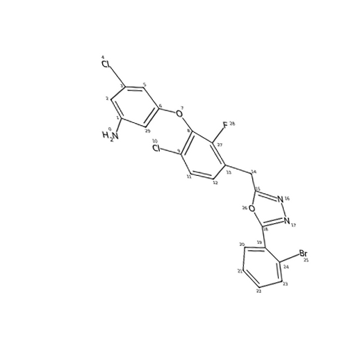 Nc1cc(Cl)cc(Oc2c(Cl)ccc(Cc3nnc(-c4ccccc4Br)o3)c2F)c1